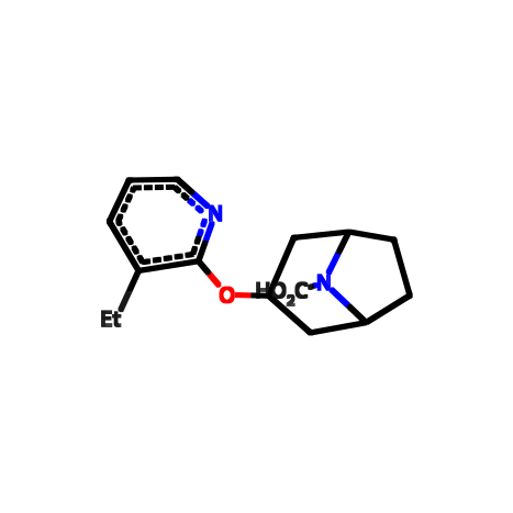 CCc1cccnc1OC1CC2CCC(C1)N2C(=O)O